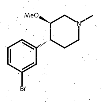 CO[C@H]1CN(C)CC[C@@H]1c1cccc(Br)c1